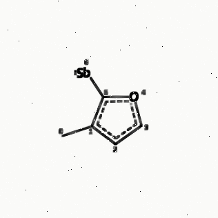 Cc1cco[c]1[Sb]